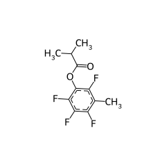 Cc1c(F)c(F)c(F)c(OC(=O)C(C)C)c1F